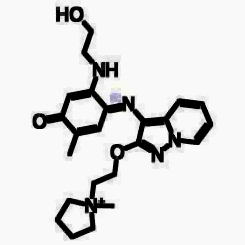 CC1=C/C(=N\c2c(OCC[N+]3(C)CCCC3)nn3ccccc23)C(NCCO)=CC1=O